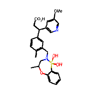 COc1cncc(C(CC(=O)O)c2ccc(C)c(CN3CC(C)Oc4ccccc4S3(O)O)c2)c1